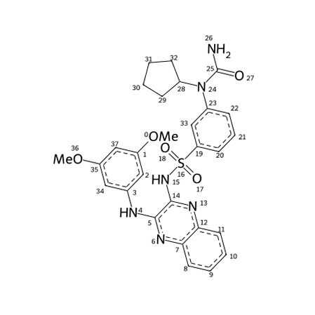 COc1cc(Nc2nc3ccccc3nc2NS(=O)(=O)c2cccc(N(C(N)=O)C3CCCC3)c2)cc(OC)c1